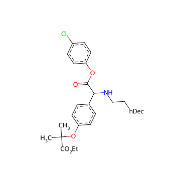 CCCCCCCCCCCCNC(C(=O)Oc1ccc(Cl)cc1)c1ccc(OC(C)(C)C(=O)OCC)cc1